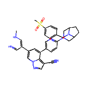 CN/C=C(\C=N)c1cc(-c2ccc(N3CC4CCC(C3)N4Cc3ccc(S(C)(=O)=O)cc3)nc2)c2c(C#N)cnn2c1